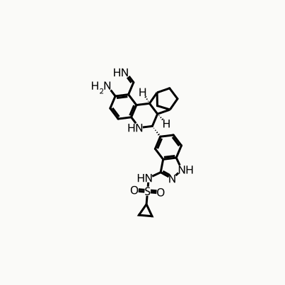 N=Cc1c(N)ccc2c1[C@H]1C3CCC(C3)[C@H]1[C@H](c1ccc3[nH]nc(NS(=O)(=O)C4CC4)c3c1)N2